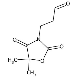 CC1(C)OC(=O)N(CCC=O)C1=O